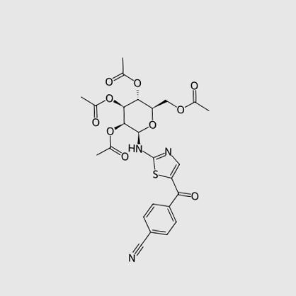 CC(=O)OC[C@H]1O[C@@H](Nc2ncc(C(=O)c3ccc(C#N)cc3)s2)[C@@H](OC(C)=O)[C@@H](OC(C)=O)[C@@H]1OC(C)=O